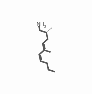 CCC/C=C\C(C)=C\C[C@@H](C)CN